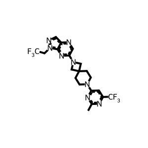 Cc1nc(N2CCC3(CC2)CN(c2cnc4cnn(CC(F)(F)F)c4n2)C3)cc(C(F)(F)F)n1